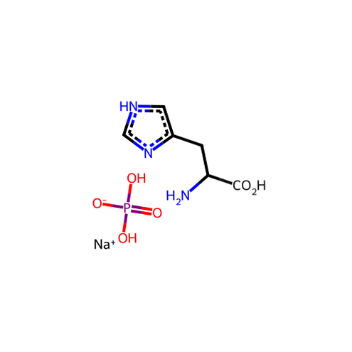 NC(Cc1c[nH]cn1)C(=O)O.O=P([O-])(O)O.[Na+]